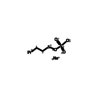 CC(C)CCSOS(=O)(=O)[O-].[Na+]